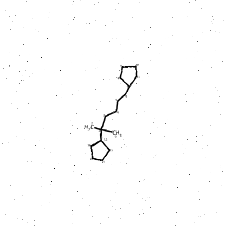 CC(C)([CH]CCCC1CCCC1)C1CCCC1